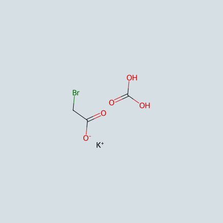 O=C(O)O.O=C([O-])CBr.[K+]